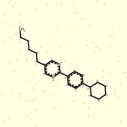 CCCCCCc1cnc(-c2ccc(C3CC[CH]CC3)cc2)nc1